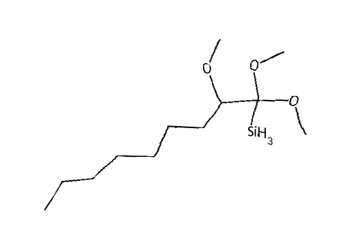 CCCCCCCC(OC)C([SiH3])(OC)OC